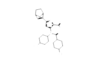 CC1CCC(C(=O)N(c2cc(C3=CC4CCC3C4)sc2C(=O)O)C2CCC(O)CC2)CC1